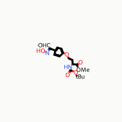 COC(=O)C(CCOc1ccc(C([C]=O)=NO)cc1)NC(=O)OC(C)(C)C